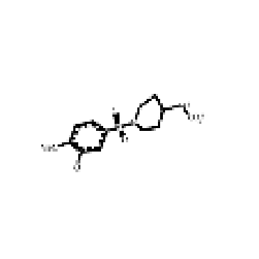 COc1ccc(S(=O)(=O)N2CCC(NC(=O)O)CC2)cc1Cl